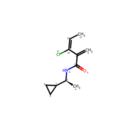 C=C(C(=O)N[C@@H](C)C1CC1)/C(Cl)=C\C